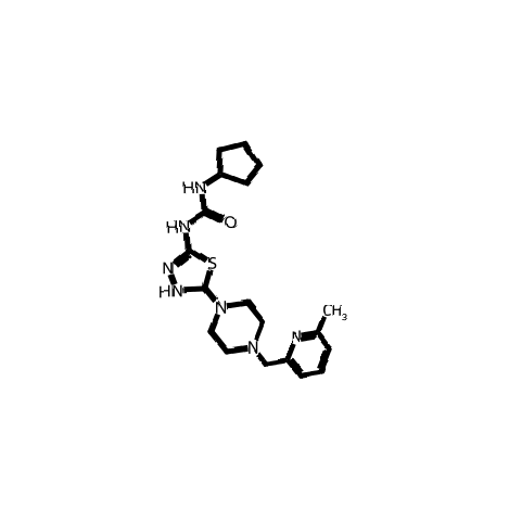 Cc1cccc(CN2CCN(C3NN=C(NC(=O)NC4CCCC4)S3)CC2)n1